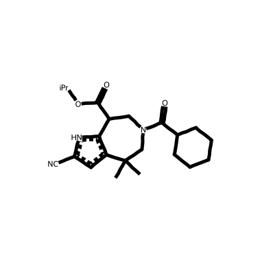 CC(C)OC(=O)C1CN(C(=O)C2CCCCC2)CC(C)(C)c2cc(C#N)[nH]c21